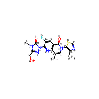 CCn1c(CO)nn(-c2nc3c(C(C)C)cn(-c4scnc4C)c(=O)c3cc2F)c1=O